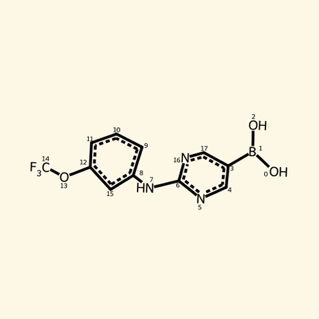 OB(O)c1cnc(Nc2cccc(OC(F)(F)F)c2)nc1